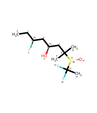 CC[C@H](F)C[C@H](O)CC(C)(C)[S@+]([O-])C(C)(F)F